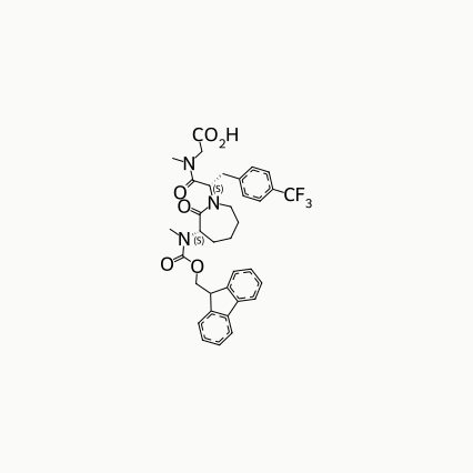 CN(CC(=O)O)C(=O)[C@H](Cc1ccc(C(F)(F)F)cc1)N1CCCC[C@H](N(C)C(=O)OCC2c3ccccc3-c3ccccc32)C1=O